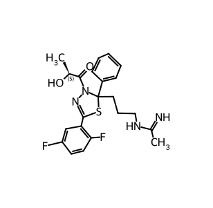 CC(=N)NCCCC1(c2ccccc2)SC(c2cc(F)ccc2F)=NN1C(=O)[C@H](C)O